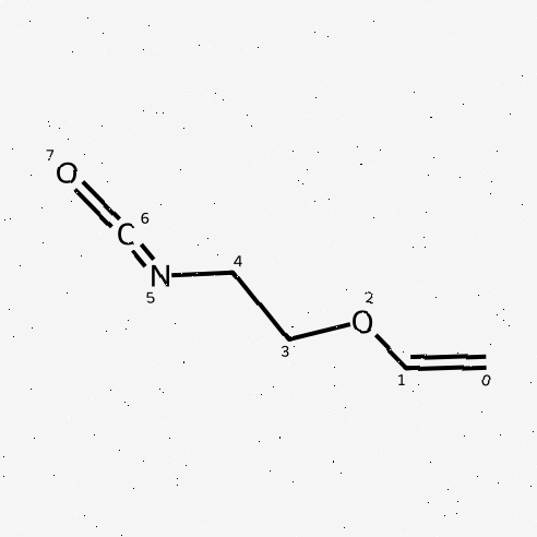 C=COCCN=C=O